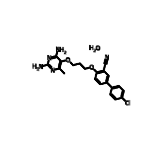 Cc1nc(N)nc(N)c1OCCCOc1ccc(-c2ccc(Cl)cc2)cc1C#N.O